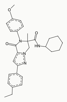 CCc1ccc(-c2cc3n(n2)CC(C)(C(=O)NC2CCCCC2)N(c2ccc(OC)cc2)C3=O)cc1